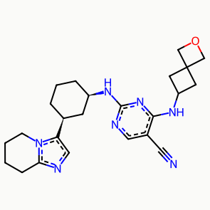 N#Cc1cnc(N[C@@H]2CCC[C@H](c3cnc4n3CCCC4)C2)nc1NC1CC2(COC2)C1